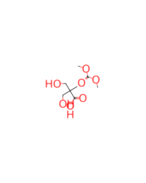 CC(CO)(CO)C(=O)O.COC(=O)OC